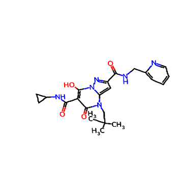 CC(C)(C)Cn1c(=O)c(C(=O)NC2CC2)c(O)n2nc(C(=O)NCc3ccccn3)cc12